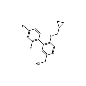 OCc1cc(-c2ccc(Cl)cc2Cl)c(OCC2CC2)cn1